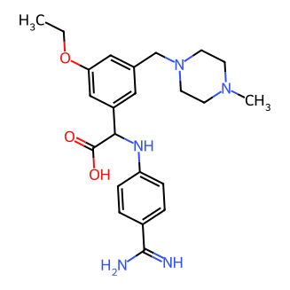 CCOc1cc(CN2CCN(C)CC2)cc(C(Nc2ccc(C(=N)N)cc2)C(=O)O)c1